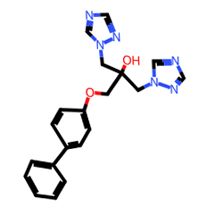 OC(COc1ccc(-c2ccccc2)cc1)(Cn1cncn1)Cn1cncn1